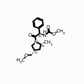 COC[C@H]1C[C@@H](C)N(C(=O)[C@H](NC(=O)OC)c2ccccc2)C1